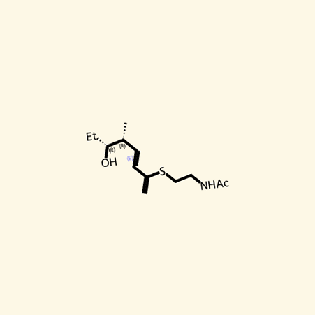 C=C(/C=C/[C@@H](C)[C@H](O)CC)SCCNC(C)=O